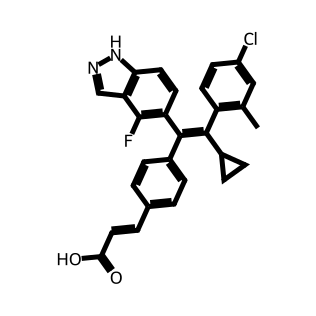 Cc1cc(Cl)ccc1C(=C(c1ccc(C=CC(=O)O)cc1)c1ccc2[nH]ncc2c1F)C1CC1